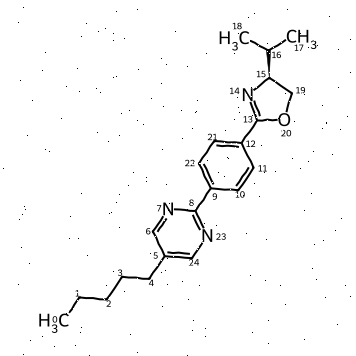 CCCCCc1cnc(-c2ccc(C3=N[C@@H](C(C)C)CO3)cc2)nc1